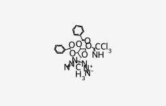 CC(N=[N+]=[N-])(N=[N+]=[N-])[C@H]1O[C@@H](OC(=N)C(Cl)(Cl)Cl)C(OC(=O)c2ccccc2)C1OC(=O)c1ccccc1